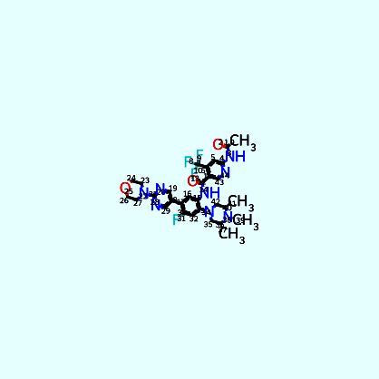 CC(=O)Nc1cc(C(F)(F)F)c(C(=O)Nc2cc(-c3cnc(N4CCOCC4)nc3)c(F)cc2N2C[C@@H](C)N(C)[C@@H](C)C2)cn1